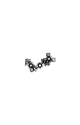 CS(=O)(=NCc1ccc(C2=NOC(c3cc(Cl)cc(Cl)c3)(C(F)(F)F)C2)cc1)c1ccc(C(F)(F)F)cc1